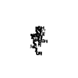 CC(C)O.NCCNCCO.NCCNCCO.NCCNCCO.[Ti]